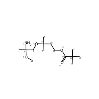 COC(C)(N)COC(C)(C)CCOC(=O)C(C)(C)C